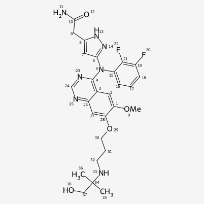 COc1cc2c(N(c3cc(CC(N)=O)[nH]n3)c3cccc(F)c3F)ncnc2cc1OCCCNC(C)(C)CO